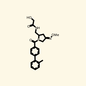 CO/N=C1\CC(CNC(=O)CO)N(C(=O)c2ccc(-c3ccccc3C)cc2)C1